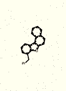 CC(C)Cc1cccc2c1oc1ccc3ccccc3c12